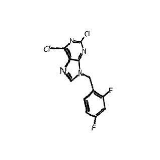 Fc1ccc(Cn2cnc3c(Cl)nc(Cl)nc32)c(F)c1